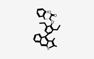 CCc1cc(-c2c3ccccc3cc3sc(C)c(C)c23)cc(CC)c1O[C@H](Cc1ccccc1)C(=O)O